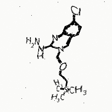 C[Si](C)(C)CCOCN1C=c2ccc(Cl)cc2=NC1NN